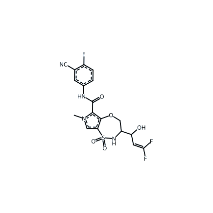 Cn1cc2c(c1C(=O)Nc1ccc(F)c(C#N)c1)OCC(C(O)C=C(F)F)NS2(=O)=O